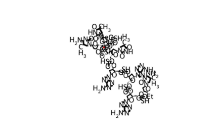 CC[C@H]1O[C@@H](n2cc(C)c(N)nc2=O)CC1OP(=O)(S)OC[C@H]1O[C@@H](n2cnc3c(N)ncnc32)CC1OP(=O)(S)OC[C@H]1O[C@@H](n2cnc3c(N)ncnc32)CC1OP(=O)(S)OC[C@H]1O[C@@H](n2cnc3c(N)ncnc32)CC1OP(=O)(S)OC[C@H]1O[C@@H](n2cc(C)c(=O)[nH]c2=O)CC1OP(=O)(S)OC[C@H]1O[C@@H](n2cc(C)c(N)nc2=O)CC1OP(=O)(S)OC[C@H]1O[C@@H](n2cc(C)c(=O)[nH]c2=O)CC1OP(=O)(S)OC